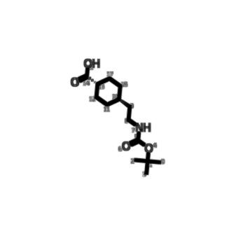 CC(C)(C)OC(=O)NCC[C@H]1CC[C@H](C(=O)O)CC1